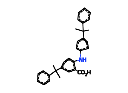 CC(C)(c1ccccc1)c1ccc(Nc2ccc(C(C)(C)c3ccccc3)cc2C(=O)O)cc1